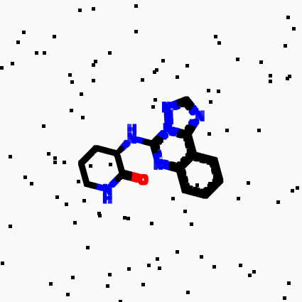 O=C1NCCC[C@H]1Nc1nc2ccccc2c2ncnn12